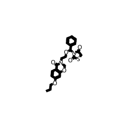 CCCOc1ccc2c(c1)OCN(CCOC(c1ccccc1)N1C(=O)CSC1=O)C2=O